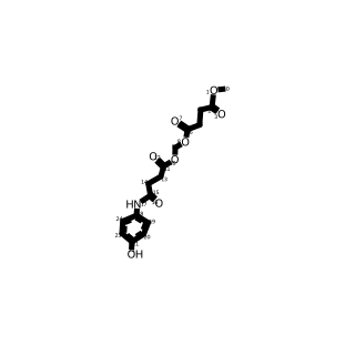 COC(=O)CCC(=O)OCOC(=O)CCC(=O)Nc1ccc(O)cc1